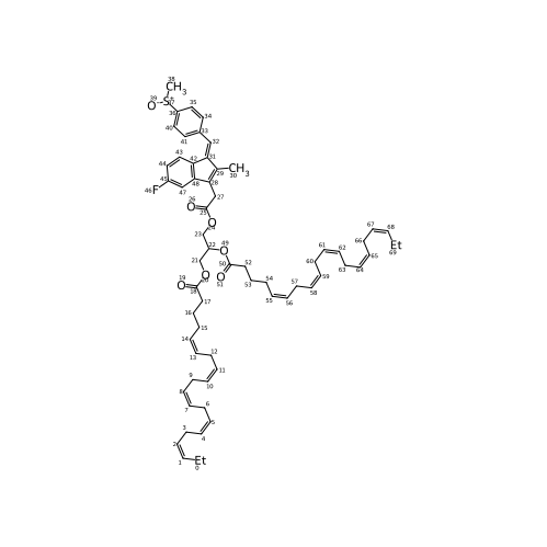 CC/C=C\C/C=C\C/C=C\C/C=C\C/C=C\CCCC(=O)OCC(COC(=O)CC1=C(C)/C(=C/c2ccc([S+](C)[O-])cc2)c2ccc(F)cc21)OC(=O)CCC/C=C\C/C=C\C/C=C\C/C=C\C/C=C\CC